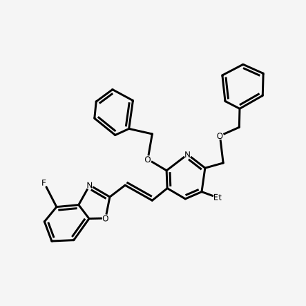 CCc1cc(C=Cc2nc3c(F)cccc3o2)c(OCc2ccccc2)nc1COCc1ccccc1